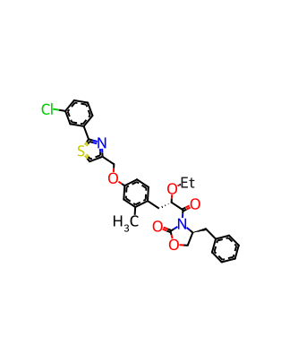 CCO[C@@H](Cc1ccc(OCc2csc(-c3cccc(Cl)c3)n2)cc1C)C(=O)N1C(=O)OC[C@@H]1Cc1ccccc1